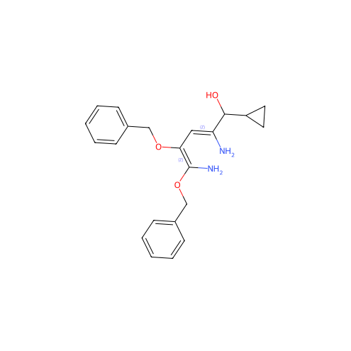 N/C(=C\C(OCc1ccccc1)=C(/N)OCc1ccccc1)C(O)C1CC1